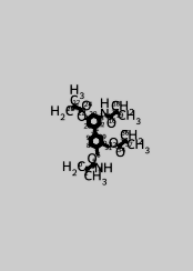 C=C(C)C(=N)OCc1ccc(-c2cc(NC(=O)C(=C)C)cc(OC(=O)C(=C)C)c2)cc1COC(=O)C(=C)C